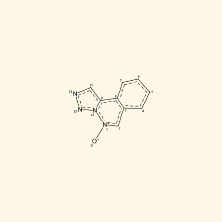 [O-][n+]1cc2ccccc2c2cnnn21